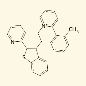 Cc1ccccc1-c1cccc[n+]1CCc1c(-c2ccccn2)sc2ccccc12